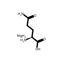 NC(=O)CC[C@H](N)C(=O)O.[MgH2]